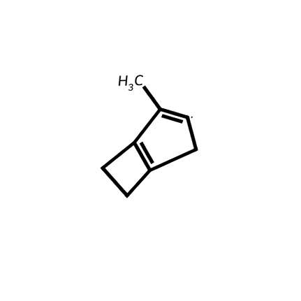 CC1=[C]CC2=C1CC2